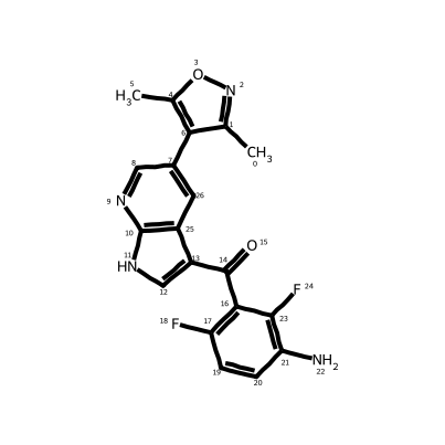 Cc1noc(C)c1-c1cnc2[nH]cc(C(=O)c3c(F)ccc(N)c3F)c2c1